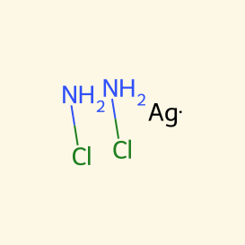 NCl.NCl.[Ag]